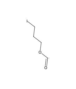 O=[C]OCCCI